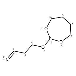 N=CCCOP1OCCCCO1